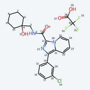 O=C(NCC1(O)CCCCC1)c1nc(-c2cccc(Cl)c2)c2ccccn12.O=C(O)C(F)(F)F